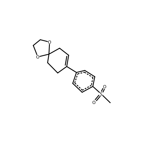 CS(=O)(=O)c1ccc(C2=CCC3(CC2)OCCO3)cc1